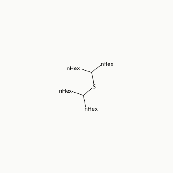 CCCCCCC(CCCCCC)SC(CCCCCC)CCCCCC